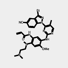 C=CC(=O)Nc1cc(Nc2ncc(C)c(-n3nc(CC)c4cc(C#N)ccc43)n2)c(OC)cc1N(C)CCN(C)C